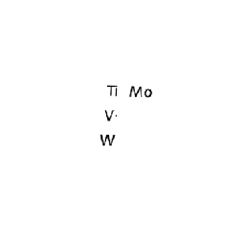 [Mo].[Ti].[V].[W]